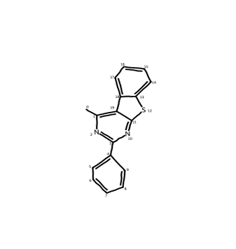 Cc1nc(-c2ccccc2)nc2sc3ccccc3c12